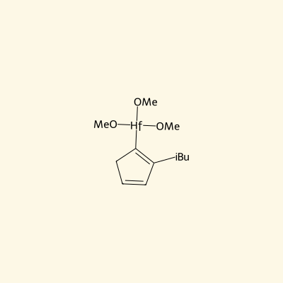 CCC(C)C1=[C]([Hf]([O]C)([O]C)[O]C)CC=C1